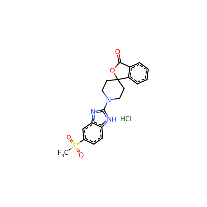 Cl.O=C1OC2(CCN(c3nc4cc(S(=O)(=O)C(F)(F)F)ccc4[nH]3)CC2)c2ccccc21